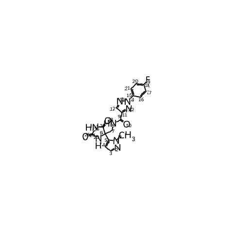 Cn1nccc1C1(CNC(=O)c2cnn(-c3ccc(F)cc3)n2)NC(=O)NC1=O